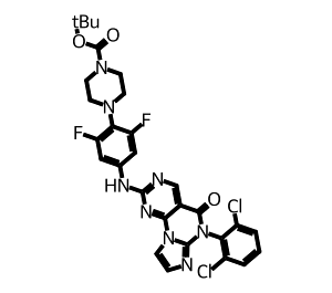 CC(C)(C)OC(=O)N1CCN(c2c(F)cc(Nc3ncc4c(=O)n(-c5c(Cl)cccc5Cl)c5nccn5c4n3)cc2F)CC1